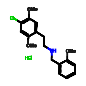 COc1cc(CCNCc2ccccc2OC)c(OC)cc1Cl.Cl